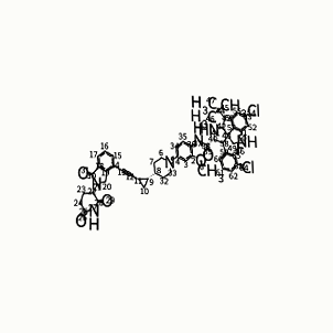 COc1cc(N2CCC([C@@H]3C[C@H]3C#Cc3cccc4c3CN(C3CCC(=O)NC3=O)C4=O)CC2)ccc1NC(=O)[C@@H]1N[C@@H](CC(C)(C)C)[C@@]2(CNc3cc(Cl)ccc32)[C@H]1c1cccc(Cl)c1F